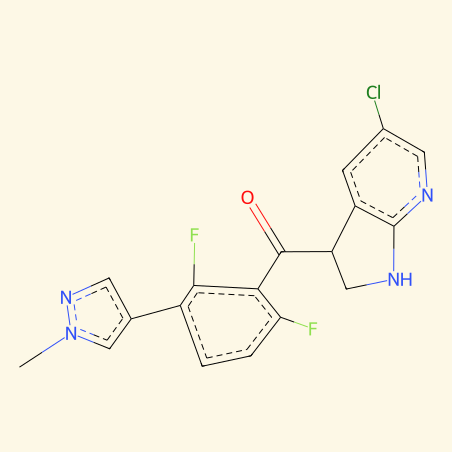 Cn1cc(-c2ccc(F)c(C(=O)C3CNc4ncc(Cl)cc43)c2F)cn1